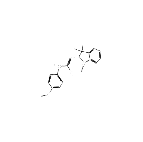 COc1ccc(N/C(Cl)=C/[C@H]2N(C)c3ccccc3C2(C)C)cc1